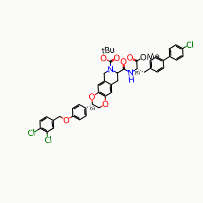 COC(=O)[C@H](Cc1ccc(-c2ccc(Cl)cc2)cc1)NC(=O)C1Cc2cc3c(cc2CN1C(=O)OC(C)(C)C)O[C@@H](c1ccc(OCc2ccc(Cl)c(Cl)c2)cc1)CO3